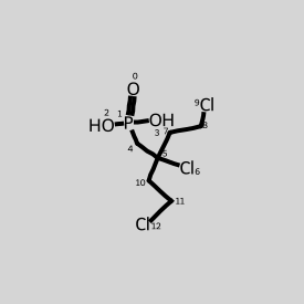 O=P(O)(O)CC(Cl)(CCCl)CCCl